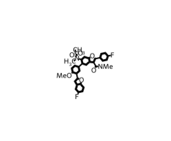 CNC(=O)c1c(-c2ccc(F)cc2)oc2cc(N(C)S(C)(=O)=O)c(-c3ccc(OC)c(-c4cc5cc(F)ccc5o4)c3)cc12